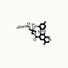 CCCCCNCC1(O)CN(C(=O)c2cc3c(C)cnnc3c(F)c2Nc2ccc(C)cc2F)C1